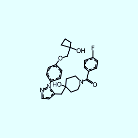 O=C(c1ccc(F)cc1)N1CCC(O)(Cc2ccnn2-c2ccc(OCC3(O)CCC3)cc2)CC1